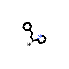 N#CC(CCc1ccccc1)c1ccccn1